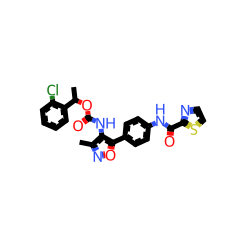 Cc1noc(-c2ccc(NC(=O)c3nccs3)cc2)c1NC(=O)OC(C)c1ccccc1Cl